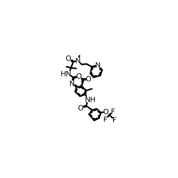 Cc1c(NC(=O)c2cccc(OC(F)(F)F)c2)ccc2nc(NC(C)(C)C(=O)N(C)CCc3ccccn3)oc(=O)c12